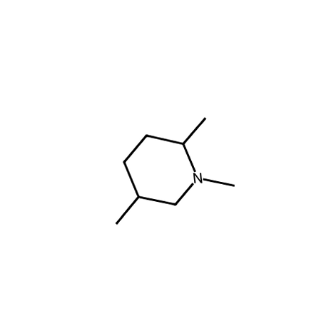 CC1CCC(C)N(C)C1